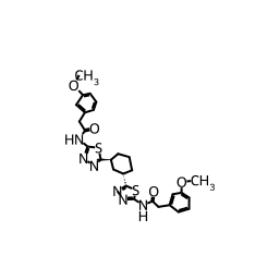 COc1cccc(CC(=O)Nc2nnc([C@H]3CCC[C@H](c4nnc(NC(=O)Cc5cccc(OC)c5)s4)C3)s2)c1